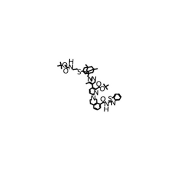 Cc1c(-c2ccc(N3CCc4cccc(C(=O)Nc5nc6ccccc6s5)c4C3)nc2C(=O)OC(C)(C)C)cnn1CC12CC3(C)CC(C)(C1)CC(SCCNC(=O)OC(C)(C)C)(C3)C2